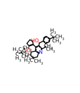 CC(C)c1nc2c(c(C3=CCCC3)c1[C@H](O)c1ccc(C(C)(C)C)cc1)[C@@H](O[Si](C)(C)C(C)(C)C)CC(C)(C)C2